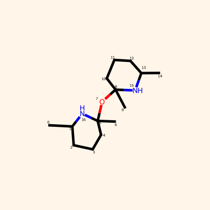 CC1CCCC(C)(OC2(C)CCCC(C)N2)N1